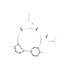 CC(C)C(NC(=O)[C@@H]1Cc2cc(ccc2O)-c2ccc(O)c(c2)C[C@H](N)C(=O)N[C@@H](C[C@@H](O)CN)C(=O)N1)C(=O)O